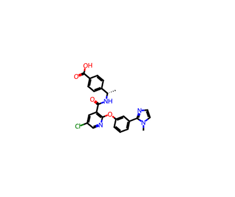 C[C@H](NC(=O)c1cc(Cl)cnc1Oc1cccc(-c2nccn2C)c1)c1ccc(C(=O)O)cc1